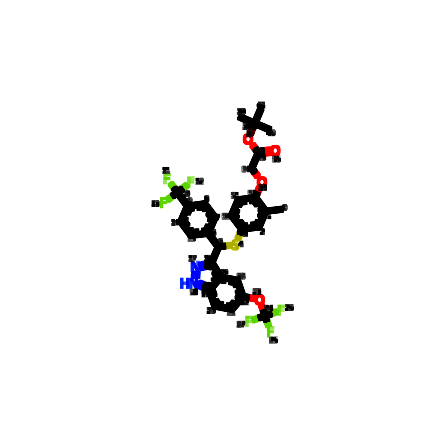 Cc1cc(SC(c2ccc(C(F)(F)F)cc2)c2n[nH]c3ccc(OC(F)(F)F)cc23)ccc1OCC(=O)OC(C)(C)C